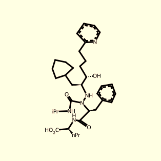 CCC[C@H](NC(=O)[C@H](Cc1ccccc1)N(N[C@@H](CC1CCCCC1)[C@@H](O)CCCc1ccccn1)C(=O)NC(C)C)C(=O)O